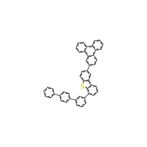 c1ccc(-c2ccc(-c3cccc(-c4cccc5c4sc4ccc(-c6ccc7c8ccccc8c8ccccc8c7c6)cc45)c3)cc2)cc1